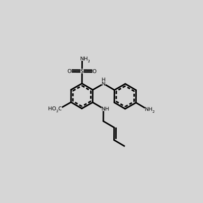 CC=CCNc1cc(C(=O)O)cc(S(N)(=O)=O)c1Nc1ccc(N)cc1